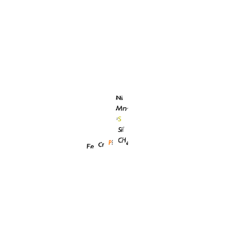 C.[Cr].[Fe].[Mn].[Ni].[P].[S].[Si]